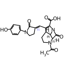 CC(=O)N1CCC2C(/C=C3\CCN(c4ccc(O)cc4)C3=O)=C(C(=O)O)N3C(=O)[C@@H]1[C@@H]23